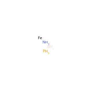 B.N.P.[Fe]